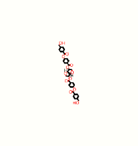 O=C(Oc1ccc(C(=O)OC2CO[C@H]3[C@@H]2OC[C@H]3OC(=O)c2ccc(OC(=O)c3ccc(CO)cc3)cc2)cc1)c1ccc(CO)cc1